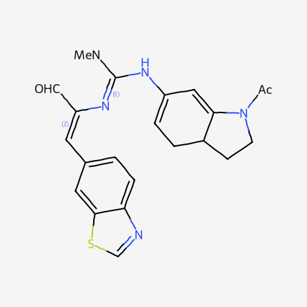 CN/C(=N\C(C=O)=C/c1ccc2ncsc2c1)NC1=CCC2CCN(C(C)=O)C2=C1